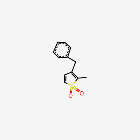 CC1=C(Cc2ccccc2)C=CS1(=O)=O